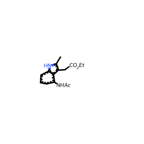 CCOC(=O)Cc1c(C)[nH]c2cccc(NC(C)=O)c12